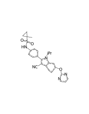 CC(C)n1c(-c2ccc(NS(=O)(=O)C3(C)CC3)cc2)c(C#N)c2ccc(Oc3ncccn3)cc21